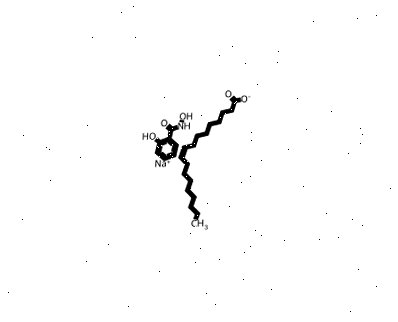 CCCCCCCC/C=C\CCCCCCCC(=O)[O-].O=C(NO)c1ccccc1O.[Na+]